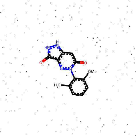 COc1cccc(C)c1-n1nc2c(=O)[nH][nH]c2cc1=O